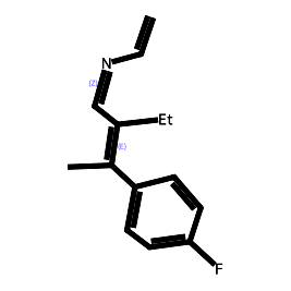 C=C/N=C\C(CC)=C(/C)c1ccc(F)cc1